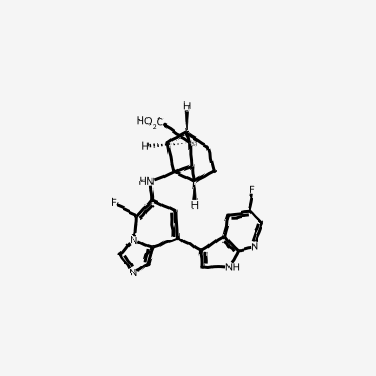 O=C(O)[C@@H]1C(Nc2cc(-c3c[nH]c4ncc(F)cc34)c3cncn3c2F)[C@H]2CC[C@@H]1CC2